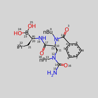 CCCCN(C(=O)c1ccccc1)[C@@H](CN(CCC)C(N)=O)C(=O)N[C@@H](CC(C)C)B(O)O